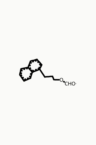 O=[C]OCCCc1cccc2ccccc12